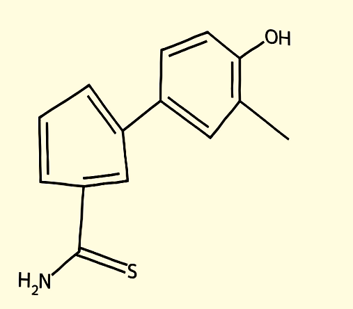 Cc1cc(-c2cccc(C(N)=S)c2)ccc1O